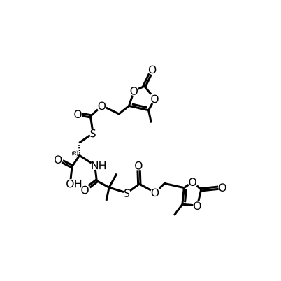 Cc1oc(=O)oc1COC(=O)SC[C@H](NC(=O)C(C)(C)SC(=O)OCc1oc(=O)oc1C)C(=O)O